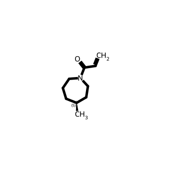 C=CC(=O)N1CCC[C@H](C)CC1